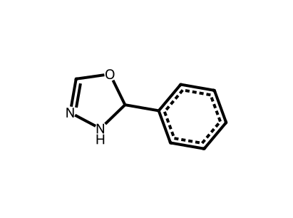 C1=NNC(c2ccccc2)O1